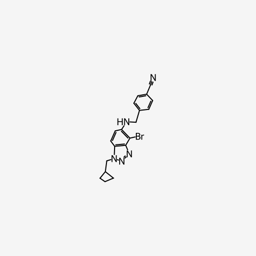 N#Cc1ccc(CNc2ccc3c(nnn3CC3CCC3)c2Br)cc1